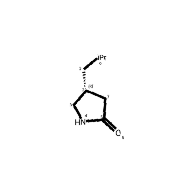 CC(C)C[C@H]1CNC(=O)C1